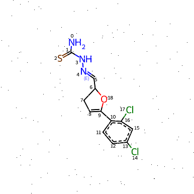 NC(=S)N/N=C/C1CC=C(c2ccc(Cl)cc2Cl)O1